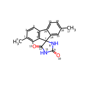 Cc1ccc2c(c1)C1(NC(=O)NC1=O)c1cc(C)ccc1-2